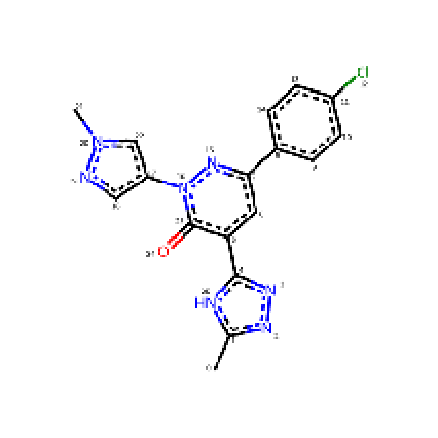 Cc1nnc(-c2cc(-c3ccc(Cl)cc3)nn(-c3cnn(C)c3)c2=O)[nH]1